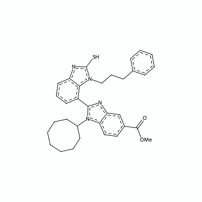 COC(=O)c1ccc2c(c1)nc(-c1cccc3nc(S)n(CCCc4ccccc4)c13)n2C1CCCCCCC1